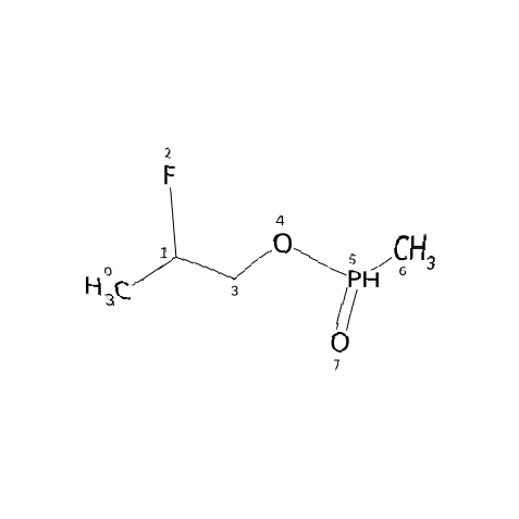 CC(F)CO[PH](C)=O